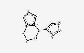 c1ncc(C2OCCc3ccsc32)[nH]1